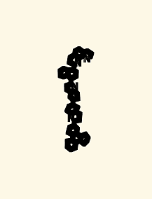 c1cnc2c(c1)ccc1ccc(-c3ccc(-c4ccc5cc(-c6ccc7nc(-c8ccc9c%10ccccc%10c%10ccccc%10c9c8)ccc7c6)ccc5n4)c4ccccc34)nc12